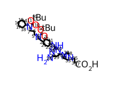 CC(C)(C)OC(=O)N(CCCN(C(=O)OC(C)(C)C)C1CCCCC1)CC1CCC(Nc2nc(N)cc(N3CCN(CCC(=O)O)CC3)n2)CC1